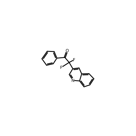 O=C(c1ccccc1)C(F)(F)c1cnc2ccccc2c1